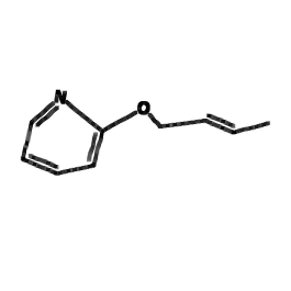 CC=CCOc1ccccn1